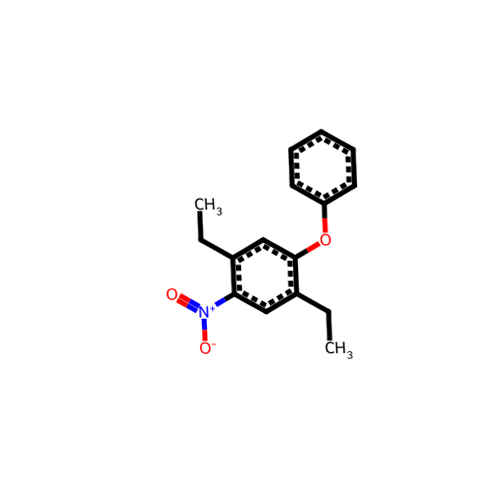 CCc1cc([N+](=O)[O-])c(CC)cc1Oc1ccccc1